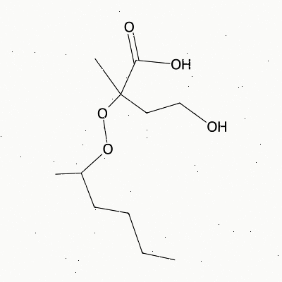 CCCCC(C)OOC(C)(CCO)C(=O)O